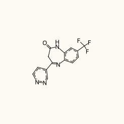 O=C1CC(c2ccnnc2)=Nc2ccc(C(F)(F)F)cc2N1